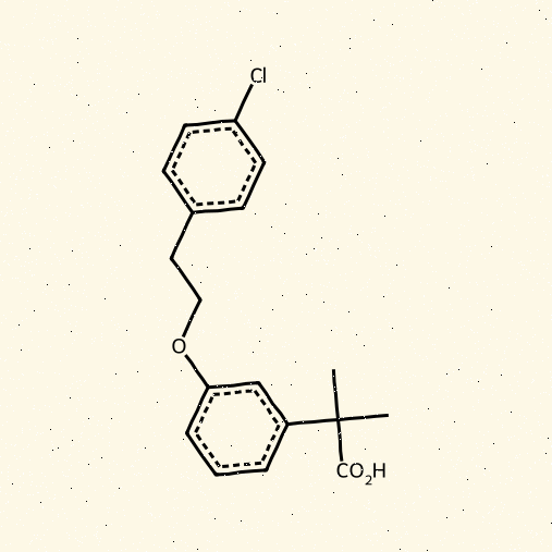 CC(C)(C(=O)O)c1cccc(OCCc2ccc(Cl)cc2)c1